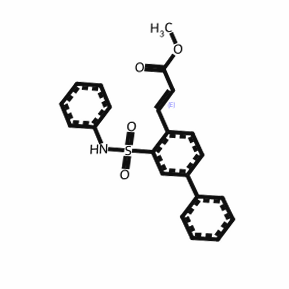 COC(=O)/C=C/c1ccc(-c2ccccc2)cc1S(=O)(=O)Nc1ccccc1